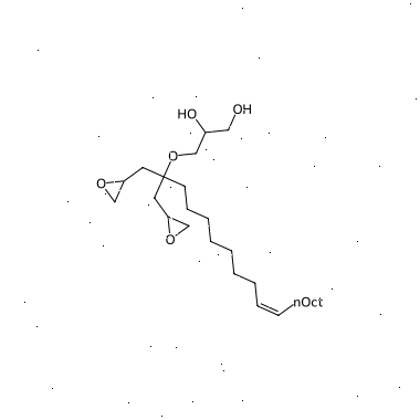 CCCCCCCC/C=C\CCCCCCCC(CC1CO1)(CC1CO1)OCC(O)CO